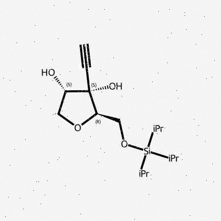 C#C[C@]1(O)[C@@H](O)[CH]O[C@@H]1CO[Si](C(C)C)(C(C)C)C(C)C